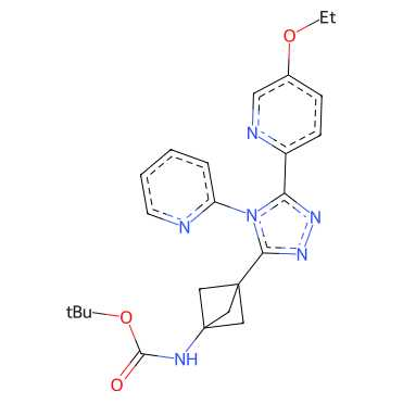 CCOc1ccc(-c2nnc(C34CC(NC(=O)OC(C)(C)C)(C3)C4)n2-c2ccccn2)nc1